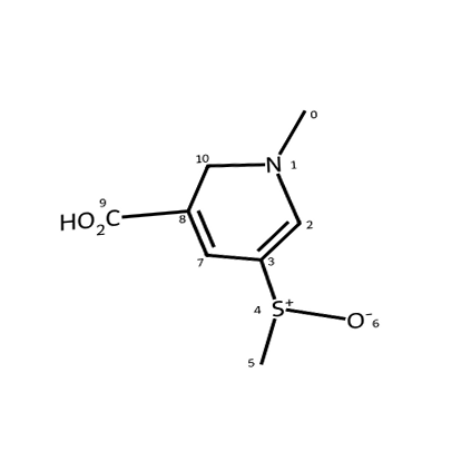 CN1C=C([S+](C)[O-])C=C(C(=O)O)C1